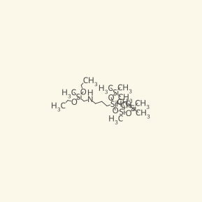 CCO[Si](C)(CNCCC[Si](C)(O[Si](C)(C)C)O[Si](C)(C)O[Si](C)(C)C)OCC